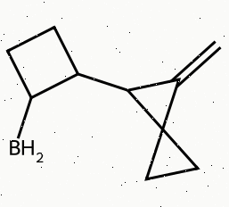 BC1CCC1C1C(=C)C12CC2